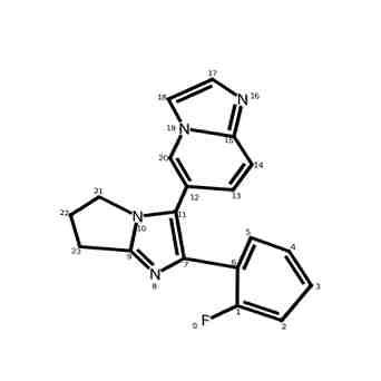 Fc1ccccc1-c1nc2n(c1-c1ccc3nccn3c1)CCC2